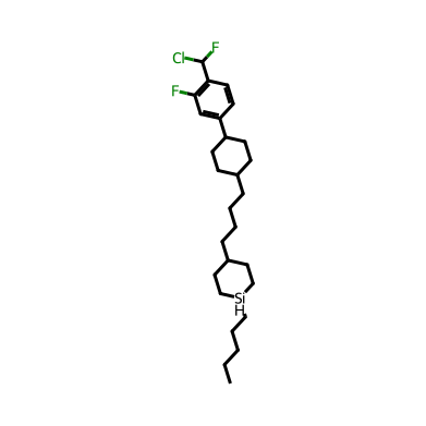 CCCCC[SiH]1CCC(CCCCC2CCC(c3ccc(C(F)Cl)c(F)c3)CC2)CC1